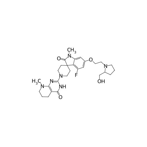 CN1CCCc2c1nc(N1CCC3(CC1)C(=O)N(C)c1cc(OCCN4CCCC4CO)cc(F)c13)[nH]c2=O